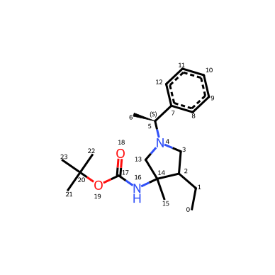 CCC1CN([C@@H](C)c2ccccc2)CC1(C)NC(=O)OC(C)(C)C